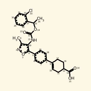 Cc1noc(-c2ccc(C3=CCC(C(=O)O)CC3)cc2)c1NC(=O)OC(C)c1ccccc1Cl